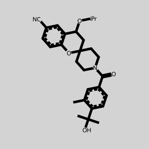 Cc1cc(C(=O)N2CCC3(CC2)CC(OC(C)C)c2cc(C#N)ccc2O3)ccc1C(C)(C)O